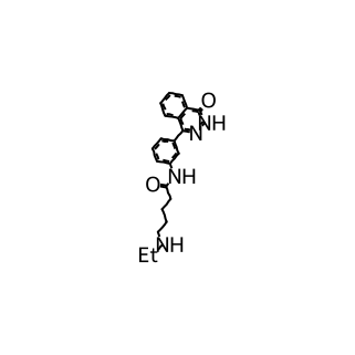 CCNCCCCC(=O)Nc1cccc(-c2n[nH]c(=O)c3ccccc23)c1